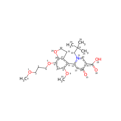 COCCCOc1cc(OC)c(-c2cc(=O)c(C(=O)O)cn2CC(C)(C)C)c2c1OCC2